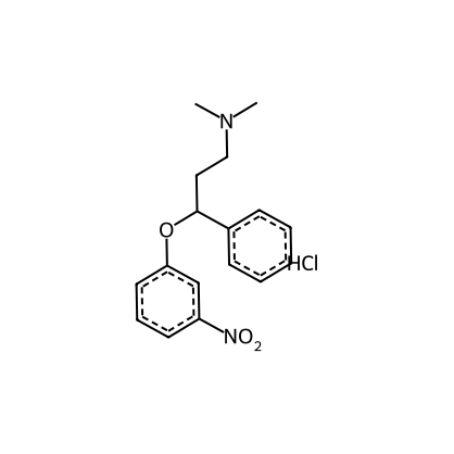 CN(C)CCC(Oc1cccc([N+](=O)[O-])c1)c1ccccc1.Cl